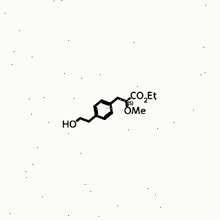 CCOC(=O)[C@H](Cc1ccc(CCO)cc1)OC